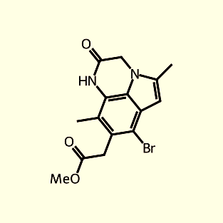 COC(=O)Cc1c(C)c2c3c(cc(C)n3CC(=O)N2)c1Br